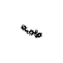 O=C(c1ccc(OCCN2CCOCC2)nc1)N1CCc2ccccc21